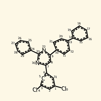 Clc1cc(Cl)cc(-c2cc(-c3ccc(-c4ccccc4)cc3)nc(-c3ccccc3)n2)c1